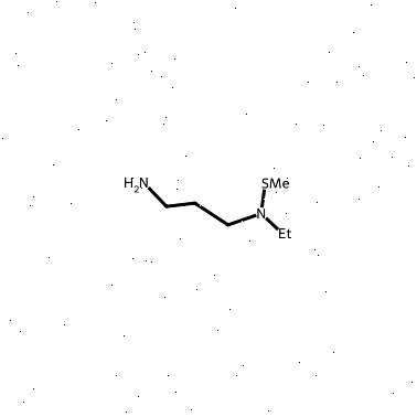 CCN(CCCN)SC